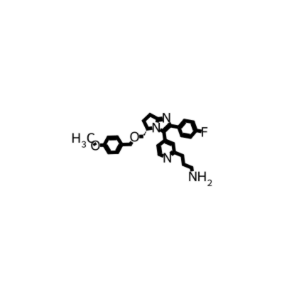 COc1ccc(COC[C@@H]2CCc3nc(-c4ccc(F)cc4)c(-c4ccnc(CCCN)c4)n32)cc1